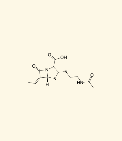 C/C=C1\C(=O)N2C(C(=O)O)C(SCCNC(C)=O)S[C@H]12